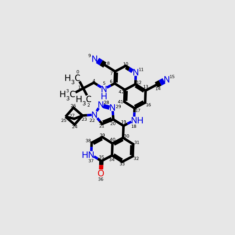 CC(C)(C)CNc1c(C#N)cnc2c(C#N)cc(NC(c3cn(C45CC(C4)C5)nn3)c3cccc4c(=O)[nH]ccc34)cc12